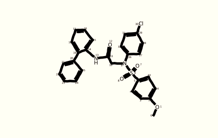 COc1ccc(S(=O)(=O)N(CC(=O)Nc2ccccc2-c2ccccc2)c2ccc(Cl)cc2)cc1